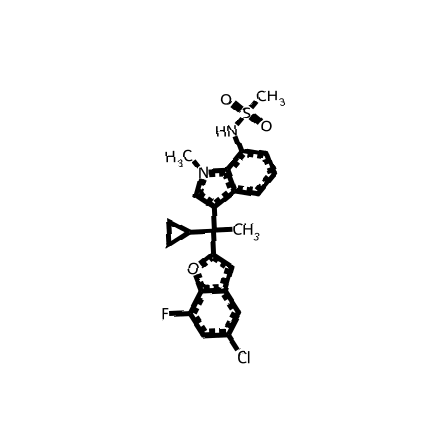 Cn1cc(C(C)(c2cc3cc(Cl)cc(F)c3o2)C2CC2)c2cccc(NS(C)(=O)=O)c21